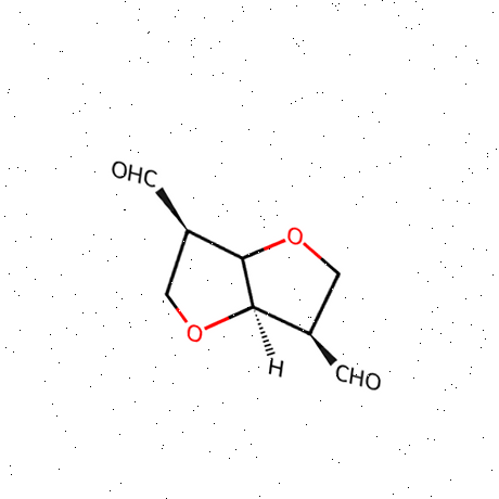 O=C[C@@H]1CO[C@H]2C1OC[C@H]2C=O